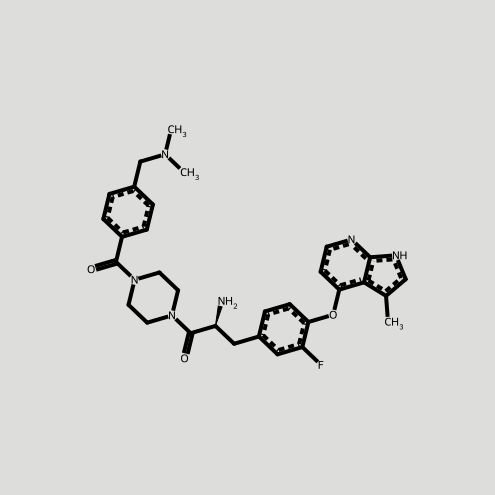 Cc1c[nH]c2nccc(Oc3ccc(C[C@H](N)C(=O)N4CCN(C(=O)c5ccc(CN(C)C)cc5)CC4)cc3F)c12